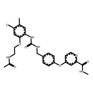 CNC(=O)c1cc(Oc2ccc(CNC(=O)Nc3cc(C)c(Cl)cc3OCCNC(C)=O)cc2)ccn1